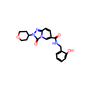 O=C(NCc1ccccc1O)c1ccc2nn(C3CCOCC3)c(=O)n2c1